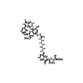 C=CC(=O)Nc1cc(Nc2nccc(-c3cn(C)c4ccccc34)n2)c(OC)cc1N(C)CCN(C)CCCCCCCSc1cccc2c1CN(C(C=O)CCC(=O)NC)C2=O